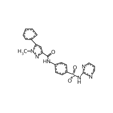 Cn1nc(C(=O)Nc2ccc(S(=O)(=O)Nc3ncccn3)cc2)cc1-c1ccccc1